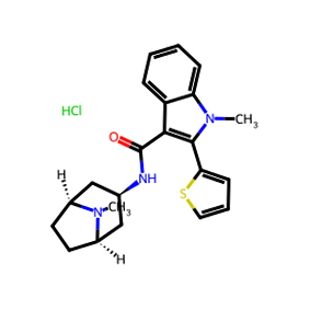 CN1[C@@H]2CC[C@H]1C[C@@H](NC(=O)c1c(-c3cccs3)n(C)c3ccccc13)C2.Cl